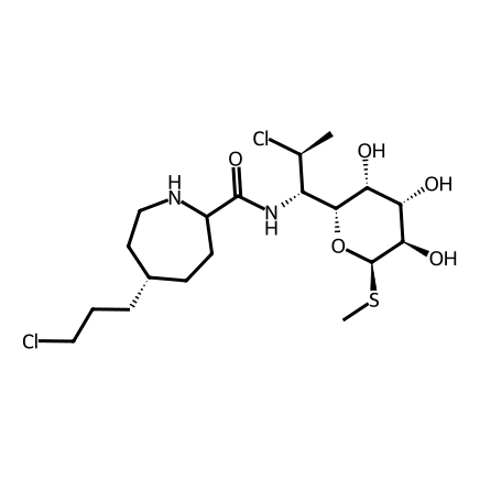 CS[C@H]1O[C@H]([C@H](NC(=O)C2CC[C@H](CCCCl)CCN2)[C@H](C)Cl)[C@H](O)[C@H](O)[C@H]1O